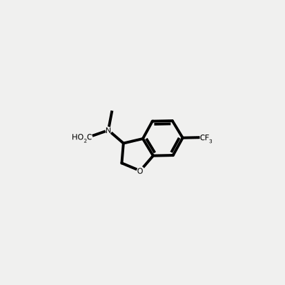 CN(C(=O)O)C1COc2cc(C(F)(F)F)ccc21